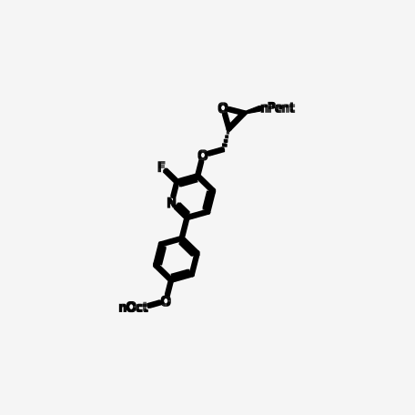 CCCCCCCCOc1ccc(-c2ccc(OC[C@@H]3O[C@H]3CCCCC)c(F)n2)cc1